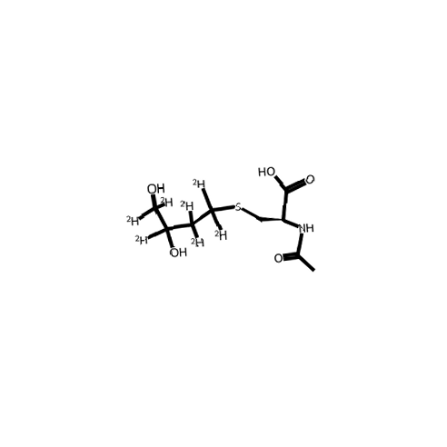 [2H]C([2H])(O)C([2H])(O)C([2H])([2H])C([2H])([2H])SC[C@H](NC(C)=O)C(=O)O